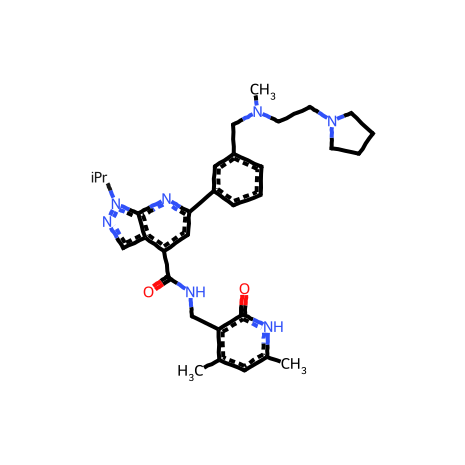 Cc1cc(C)c(CNC(=O)c2cc(-c3cccc(CN(C)CCN4CCCC4)c3)nc3c2cnn3C(C)C)c(=O)[nH]1